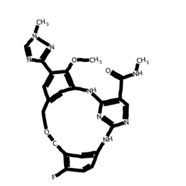 CNC(=O)c1cnc2nc1Nc1cc(cc(-c3ncn(C)n3)c1OC)COCc1cc(ccc1F)N2